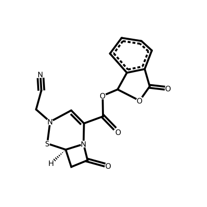 N#CCN1C=C(C(=O)OC2OC(=O)c3ccccc32)N2C(=O)C[C@H]2S1